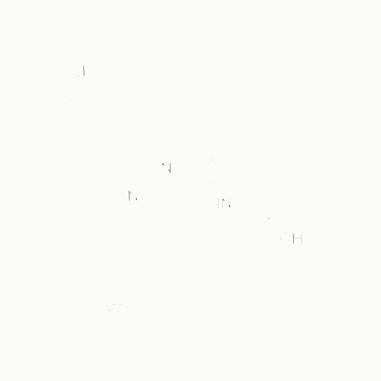 CC(C)(O)CNC(=O)c1cc(-c2ccc(Cl)cc2)nc(-c2ccc(OC(F)(F)F)cc2)n1